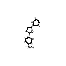 COc1ccc(C2=NC[C@H](c3ccccc3)O2)cc1